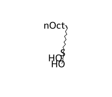 CCCCCCCC/C=C\CCCCCCCCSCC(O)CO